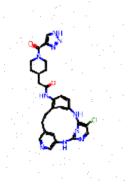 O=C(CC1CCN(C(=O)c2c[nH]nn2)CC1)Nc1ccc2cc1CCc1cncc(c1)Nc1ncc(Cl)c(n1)N2